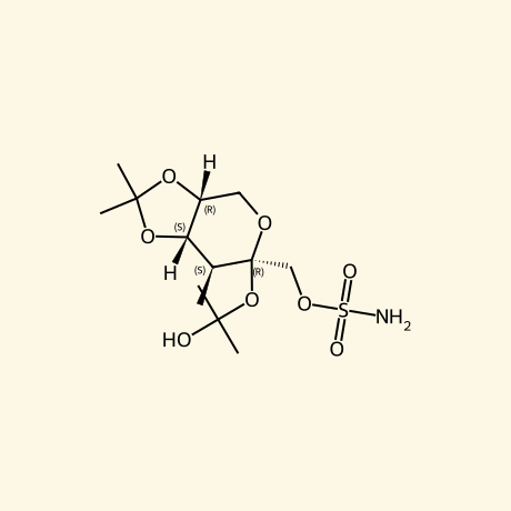 C[C@H]1[C@@H]2OC(C)(C)O[C@@H]2CO[C@@]1(COS(N)(=O)=O)OC(C)(C)O